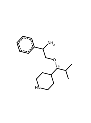 CC(C)[C@@H](OCC(N)c1ccccc1)C1CCNCC1